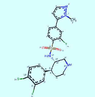 Cn1nccc1-c1ccc(S(=O)(=O)N[C@@H]2CNCC[C@H]2c2ccc(F)c(F)c2)c(F)c1